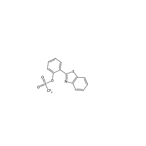 O=S(=O)(Oc1ccccc1-c1nc2[c]cccc2s1)C(F)(F)F